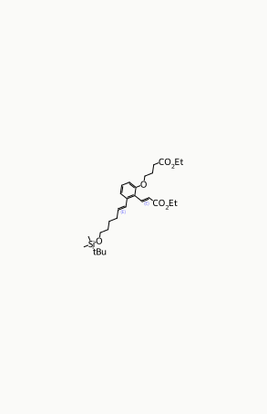 CCOC(=O)/C=C/c1c(/C=C/CCCCO[Si](C)(C)C(C)(C)C)cccc1OCCCC(=O)OCC